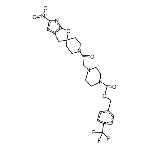 O=C(CN1CCN(C(=O)OCc2ccc(C(F)(F)F)cc2)CC1)N1CCC2(CC1)Cn1cc([N+](=O)[O-])nc1O2